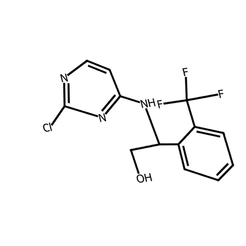 OCC(Nc1ccnc(Cl)n1)c1ccccc1C(F)(F)F